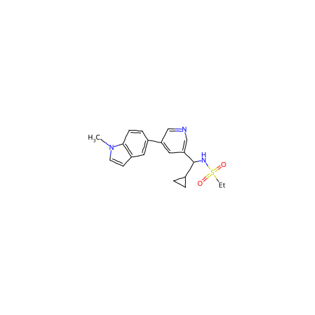 CCS(=O)(=O)NC(c1cncc(-c2ccc3c(ccn3C)c2)c1)C1CC1